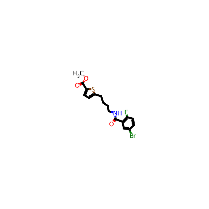 COC(=O)c1ccc(CCCCNC(=O)c2cc(Br)ccc2F)s1